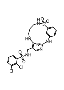 O=S1(=O)NCCCNc2nc(ncc2CNS(=O)(=O)c2cccc(Cl)c2Cl)Nc2cccc1c2